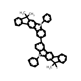 CC1(C)c2ccccc2-c2cc3c4cc(-c5ccc6c(c5)c5cc7c(cc5n6-c5ccccc5)C(C)(I)c5ccccc5-7)ccc4n(-c4ccccc4)c3cc21